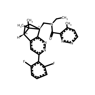 CCN(C[C@@]12CC[C@@H](c3cc(-c4c(F)cccc4F)nnc31)C2(C)C)C(=O)c1nnccc1C